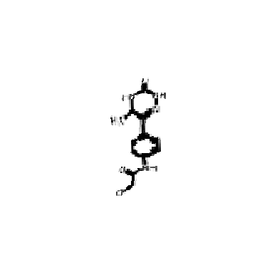 CC1NC(=O)NN=C1c1ccc(NC(=O)CCl)cc1